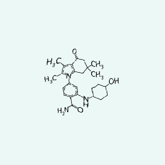 Cc1c2c(n(-c3ccc(C(N)=O)c(NC4CCC(O)CC4)c3)c1C)CC(C)(C)CC2=O